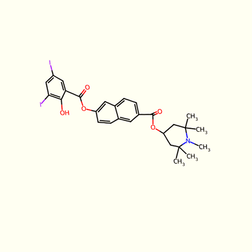 CN1C(C)(C)CC(OC(=O)c2ccc3cc(OC(=O)c4cc(I)cc(I)c4O)ccc3c2)CC1(C)C